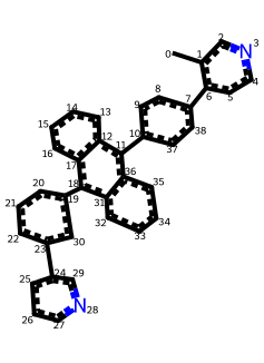 Cc1cnccc1-c1ccc(-c2c3ccccc3c(-c3cccc(-c4cccnc4)c3)c3ccccc23)cc1